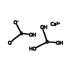 OB(O)O.[Ca+2].[O-]B([O-])O